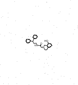 O=C(CN1CCc2cccc(O)c2C1)NCCC(c1ccccc1)c1ccccc1